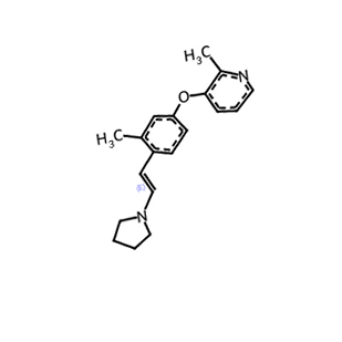 Cc1cc(Oc2cccnc2C)ccc1/C=C/N1CCCC1